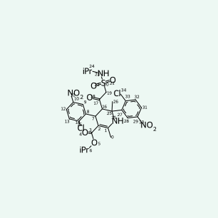 CC1=C(C(=O)OC(C)C)C(c2cc([N+](=O)[O-])ccc2Cl)C(C(=O)CS(=O)(=O)NC(C)C)C(C)(c2cc([N+](=O)[O-])ccc2Cl)N1